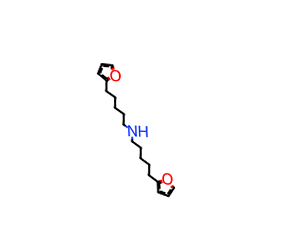 c1coc(CCCCCNCCCCCc2ccco2)c1